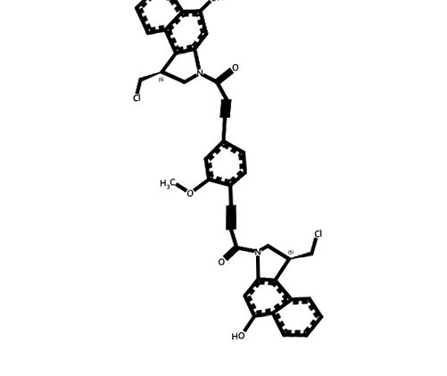 COc1cc(C#CC(=O)N2C[C@@H](CCl)c3c2cc(O)c2ccccc32)ccc1C#CC(=O)N1C[C@@H](CCl)c2c1cc(O)c1ccccc21